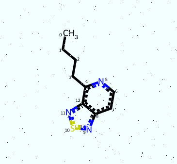 CCCCc1nccc2nsnc12